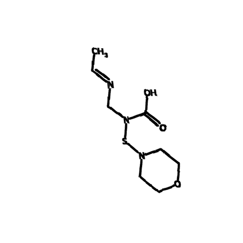 CC=NCN(SN1CCOCC1)C(=O)O